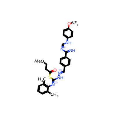 COCCC(=O)S/C(=N\c1c(C)cccc1C)N/N=C/c1ccc(C(=N)/N=C\Nc2ccc(OC(F)(F)F)cc2)cc1